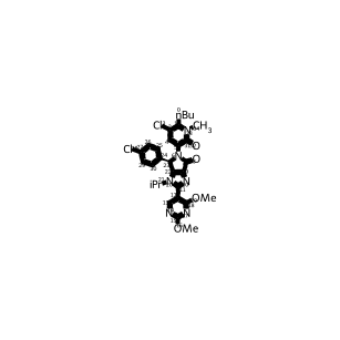 CCCCc1c(Cl)cc(N2C(=O)c3nc(-c4cnc(OC)nc4OC)n(C(C)C)c3[C@H]2c2ccc(Cl)cc2)c(=O)n1C